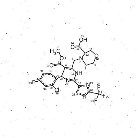 COC(=O)C1=C(CN2CCOCC2C(=O)O)NC(c2nc(C(F)(F)F)cs2)=NC1c1ccc(F)cc1Cl